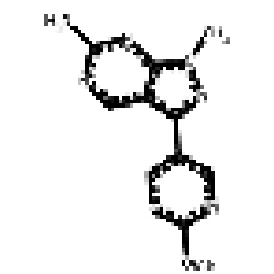 COc1ncc(-c2nn(C)c3nc(N)ncc23)cn1